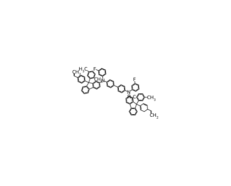 C=Cc1ccc(C2(c3cc(C)ccc3C)c3ccccc3-c3ccc(N(c4ccc(-c5ccc(N(c6cccc(F)c6)c6ccc7c(c6)C(C6=CCC(C=C)C=C6)(c6cc(C)ccc6C)c6ccccc6-7)cc5)cc4)c4cccc(F)c4)cc32)cc1